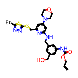 C=CCOC(=O)Nc1cc(CO)cc(CNc2cc(N3CCOCC3)cc(CSc3nnc(CC)s3)n2)c1